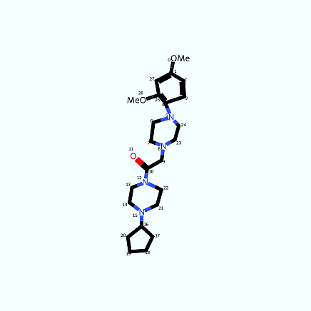 COc1ccc(N2CCN(CC(=O)N3CCN(C4CCCC4)CC3)CC2)c(OC)c1